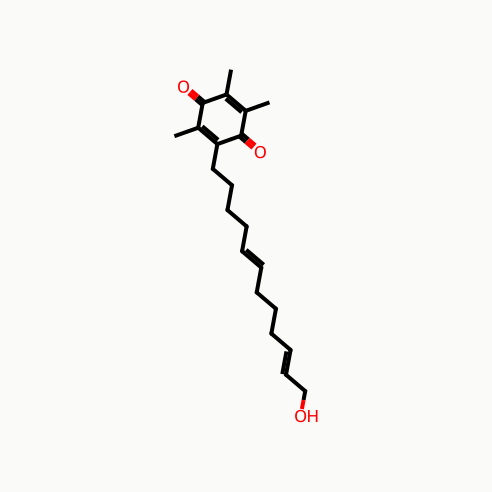 CC1=C(C)C(=O)C(CCCCC=CCCCC=CCO)=C(C)C1=O